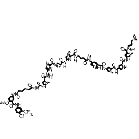 CCOc1ccc(NC(=O)CCCCC(=O)NCCC(=O)Nc2cc(C(=O)Nc3cn(C)c(C(=O)NCCC(=O)Nc4cn(C)c(C(=O)NCCCC(=O)Nc5cc(C(=O)Nc6cc(C(=O)Nc7cc(C(=O)Nc8cc(C(=O)NCCCN(C)C)n(C)c8)n(C)c7)n(C)c6)n(C)c5)n4)n3)n(C)c2)cc1C(=O)Nc1ccc(Cl)c(C(F)(F)F)c1